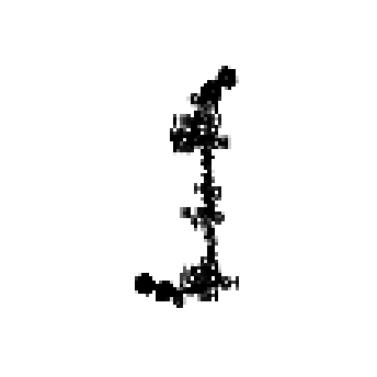 CC(=O)N[C@H]1[C@H]([C@H](O)[C@H](O)CNC(=O)c2ccc(-c3ccccc3)cc2)O[C@@](OCCCSCCNC(=O)CCC(N)C(=O)NCCSCCCO[C@]2(C(=O)O)C[C@H](O)C[C@H]([C@H](O)[C@H](O)CNC(=O)c3ccc(-c4ccccc4)cc3)O2)(C(=O)O)C[C@@H]1O